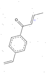 C=Cc1ccc(C(=O)/C=C/C)cc1